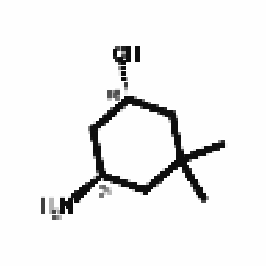 CC1(C)C[C@@H](N)C[C@H](O)C1